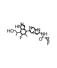 Cc1c(F)c(C(C)CO)c2[nH]ncc2c1-c1cn2cc(NC(=O)[C@@H]3C[C@@H]3F)nc2cn1